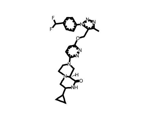 Cc1nnn(-c2ccc(C(F)F)cc2)c1COc1ccc(N2CCN3CC(C4CC4)NC(=O)[C@@H]3C2)nn1